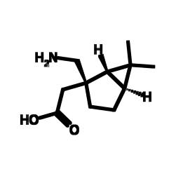 CC1(C)[C@H]2CC[C@](CN)(CC(=O)O)[C@@H]21